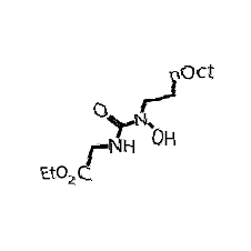 CCCCCCCCCCN(O)C(=O)NCC(=O)OCC